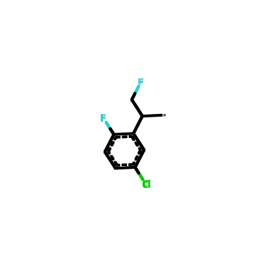 [CH2]C(CF)c1cc(Cl)ccc1F